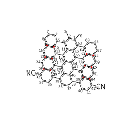 Cc1c(C)c(-c2ccccc2)c2c(-c3ccccc3)c3c(-c4ccccc4)c4c(-c5ccc(C#N)cc5)ccc(-c5ccc(C#N)cc5)c4c(-c4ccccc4)c3c(-c3ccccc3)c2c1-c1ccccc1